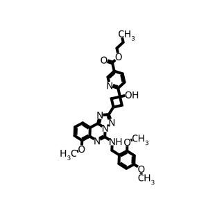 CCCOC(=O)c1ccc(C2(O)CC(c3nc4c5cccc(OC)c5nc(NCc5ccc(OC)cc5OC)n4n3)C2)nc1